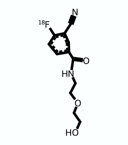 N#Cc1cc(C(=O)NCCOCCO)ccc1[18F]